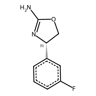 NC1=N[C@@H](c2cccc(F)c2)CO1